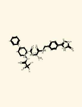 C[C@H](NC(=O)[C@H]1C[C@@H](c2ccccc2)CCN1OC(=O)C(F)(F)F)C(=O)NCc1ccc(-c2noc(=O)[nH]2)cc1